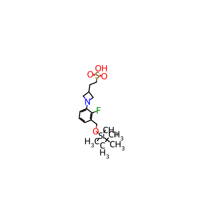 CC(C)(C)[Si](C)(C)OCc1cccc(N2CC(CCS(=O)(=O)O)C2)c1F